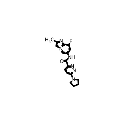 Cc1cn2cc(NC(=O)c3ccc(N4CCCC4)nn3)cc(F)c2n1